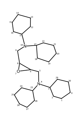 C1CCC(N(CC2OC2CN(C2CCCCC2)C2CCCCC2)C2CCCCC2)CC1